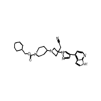 N#CCC1(n2cc(-c3ccnc4[nH]ccc34)cn2)CN(C2CCN(C(=O)OCC3CCCCC3)CC2)C1